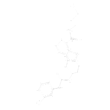 O=C(Nc1cccc(C(F)(F)F)c1)NC1CCc2[nH]c3c(C(=O)NCCCO)cccc3c2C1